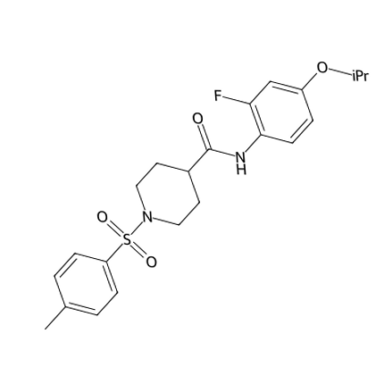 Cc1ccc(S(=O)(=O)N2CCC(C(=O)Nc3ccc(OC(C)C)cc3F)CC2)cc1